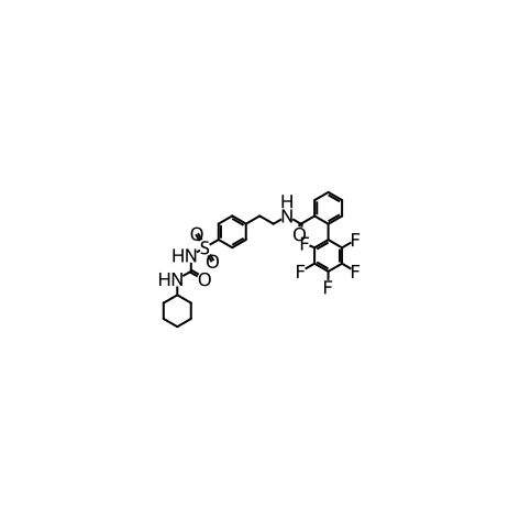 O=C(NC1CCCCC1)NS(=O)(=O)c1ccc(CCNC(=O)c2ccccc2-c2c(F)c(F)c(F)c(F)c2F)cc1